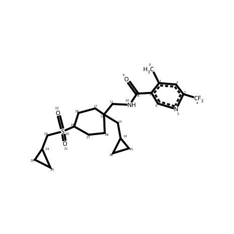 Cc1cc(C(F)(F)F)ncc1C(=O)NCC1(CC2CC2)CCC(S(=O)(=O)CC2CC2)CC1